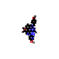 C[CH]c1cnc(Nc2ccc(OC)nc2)c(-c2nc(C)nc(N(Cc3ccc(OC)cc3)Cc3ccc(OC)cc3)n2)c1